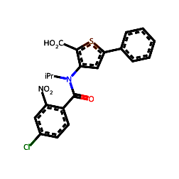 CC(C)N(C(=O)c1ccc(Cl)cc1[N+](=O)[O-])c1cc(-c2ccccc2)sc1C(=O)O